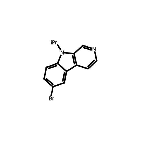 CC(C)n1c2ccc(Br)cc2c2ccncc21